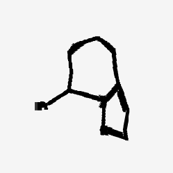 CC(C)C1CCCc2ccnn21